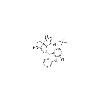 CCC(N)(C(=O)O)[C@@H]1O[C@@H](c2ccccc2Cl)c2cc(Cl)ccc2N(CC(C)(C)C)C1=O